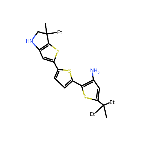 CCC(C)(CC)c1cc(N)c(-c2ccc(-c3cc4c(s3)C(C)(CC)CN4)s2)s1